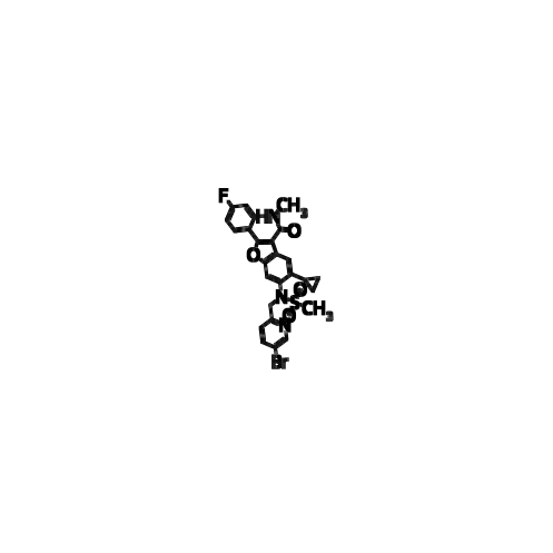 CNC(=O)c1c(-c2ccc(F)cc2)oc2cc(N(Cc3ccc(Br)cn3)S(C)(=O)=O)c(C3CC3)cc12